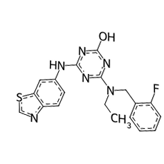 CCN(Cc1ccccc1F)c1nc(O)nc(Nc2ccc3ncsc3c2)n1